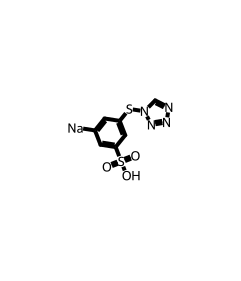 O=S(=O)(O)c1c[c]([Na])cc(Sn2cnnn2)c1